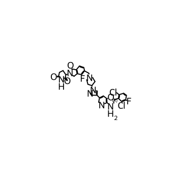 C[C@@H](Oc1cc(-c2cnn(C3CCN(Cc4ccc5c(c4F)CN(C4CCC(=O)NC4=O)C5=O)CC3)c2)cnc1N)c1c(Cl)ccc(F)c1Cl